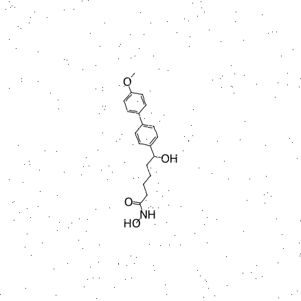 COc1ccc(-c2ccc(C(O)CCCCC(=O)NO)cc2)cc1